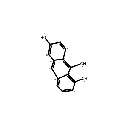 Oc1ccc2c(O)c3c(O)cccc3cc2c1